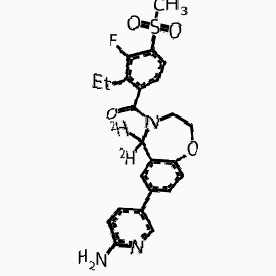 [2H]C1([2H])c2cc(-c3ccc(N)nc3)ccc2OCCN1C(=O)c1ccc(S(C)(=O)=O)c(F)c1CC